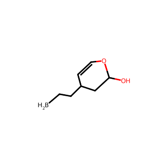 BCCC1C=COC(O)C1